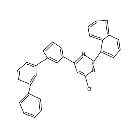 Clc1nc(-c2cccc(-c3cccc(-c4ccccc4)c3)c2)nc(-c2cccc3ccccc23)n1